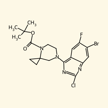 CC(C)(C)OC(=O)N1CCN(c2nc(Cl)nc3cc(Br)c(F)cc23)CC12CC2